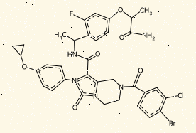 CC(Oc1ccc(C(C)NC(=O)c2c3n(c(=O)n2-c2ccc(OC4CC4)cc2)CCN(C(=O)c2ccc(Br)c(Cl)c2)C3)c(F)c1)C(N)=O